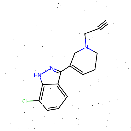 C#CCN1CCC=C(c2n[nH]c3c(Cl)cccc23)C1